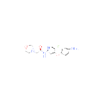 Nc1ccc(Oc2ccnc(NC(=O)CN3C[CH]OCC3)c2)c(F)c1